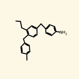 CCCc1cc(Cc2ccc(N)cc2)ccc1Cc1ccc(C)cc1